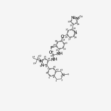 CN1CCc2ccc(-c3nn(C(C)(C)C)cc3NC(=O)Nc3ccc(Oc4ccnc(-c5cnn(C)c5)c4)cc3F)cc2C1